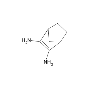 NC1=C(N)C2CCC1C2